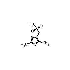 [CH2]S(=O)(=O)Cc1sc(C)nc1C